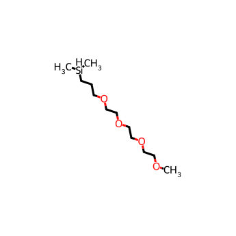 COCCOCCOCCOCCC[SiH](C)C